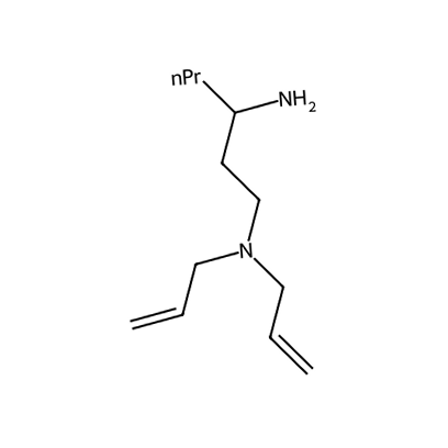 C=CCN(CC=C)CCC(N)CCC